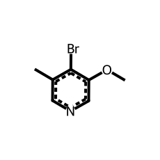 COc1cncc(C)c1Br